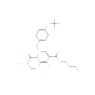 CCCCNC(=O)C1=CN(Cc2ccc(OC(F)(F)F)cc2)C2C(=O)[C@@H](N)CSC2=C1F.Cl